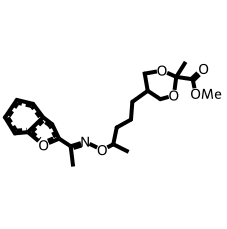 COC(=O)C1(C)OCC(CCCC(C)ON=C(C)c2cc3ccccc3o2)CO1